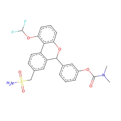 CN(C)C(=O)Oc1cccc(C2Oc3cccc(OC(F)F)c3-c3ccc(CS(N)(=O)=O)cc32)c1